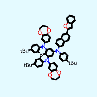 CC(C)(C)c1ccc(N(c2cc3c4c(c2)N(c2ccc5c(c2)OCCCO5)c2ccc(C(C)(C)C)cc2B4c2cc(C(C)(C)C)ccc2N3c2ccc3c(c2)OCCCO3)c2ccc3cc(-c4cc5ccccc5o4)ccc3c2)cc1